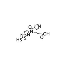 O=C(O)CCCCN(C(=O)c1ccncc1)c1ccc2nc(S)sc2n1